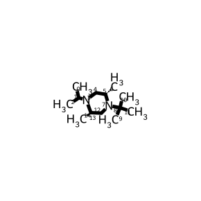 CC(C)N1C[C@H](C)N(C(C)(C)C)C[C@H]1C